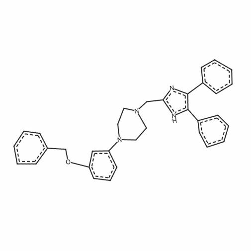 c1ccc(COc2cccc(N3CCN(Cc4nc(-c5ccccc5)c(-c5ccccc5)[nH]4)CC3)c2)cc1